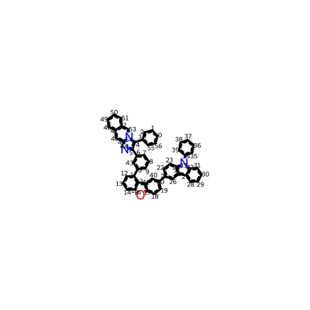 c1ccc(-c2c(-c3cccc(-c4cccc5oc6ccc(-c7ccc8c(c7)c7ccccc7n8-c7ccccc7)cc6c45)c3)nc3cc4ccccc4cn23)cc1